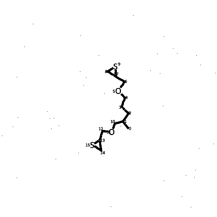 CC(CCCOCC1CS1)COCC1CS1